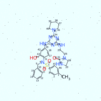 Cc1ccc(S(=O)(=O)N(Cc2ccccc2)c2ccc(Nc3nc(NCCN4CCNC4=O)nc(N4CCCCC4)n3)cc2O)cc1